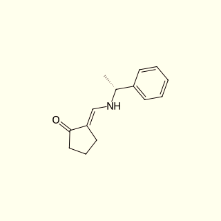 C[C@@H](NC=C1CCCC1=O)c1ccccc1